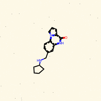 O=c1[nH]c2cc(CNC3CCCC3)ccc2n2cccc12